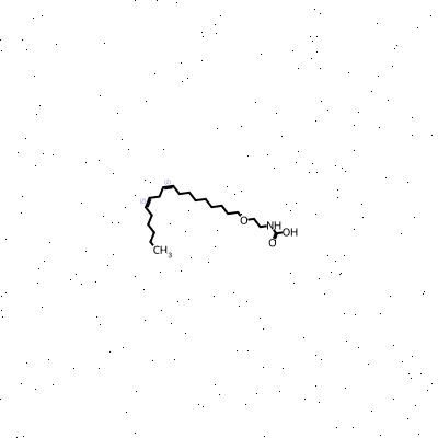 CCCCC/C=C\C/C=C\CCCCCCCCOCCNC(=O)O